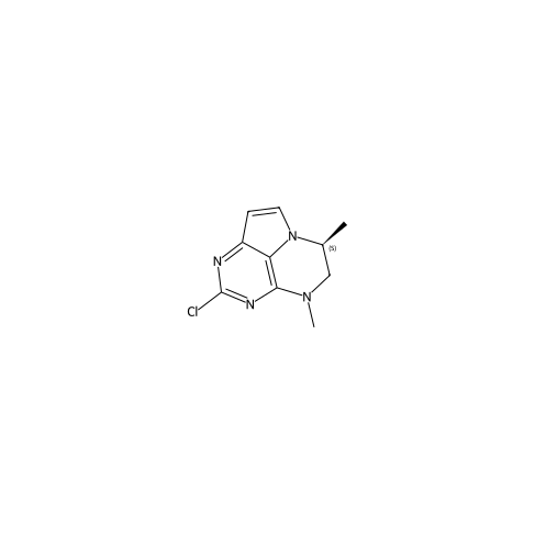 C[C@H]1CN(C)c2nc(Cl)nc3ccn1c23